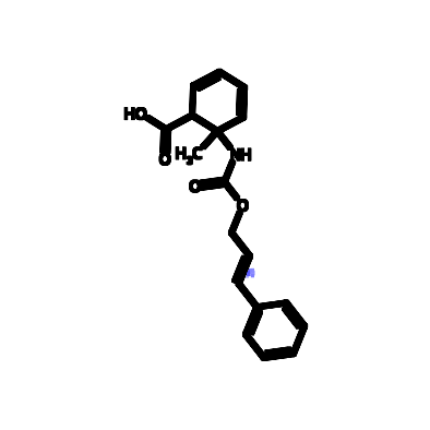 CC1(NC(=O)OC/C=C/c2ccccc2)C=CC=CC1C(=O)O